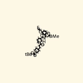 COC(=O)C[C@H](NC(=O)[C@@H]1CCCN(C(=O)CCC2CCN(C(=O)OC(C)(C)C)CC2)C1)c1cccc(OCCF)c1